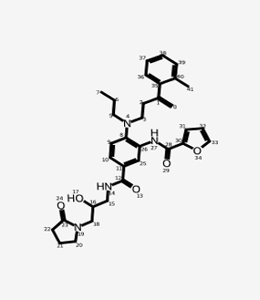 C=C(CCN(CCC)c1ccc(C(=O)NCC(O)CN2CCCC2=O)cc1NC(=O)c1ccco1)c1ccccc1C